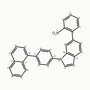 O=[N+]([O-])c1cnccc1-c1ccc2ccn(-c3ccc(-c4cccc5ccccc45)cc3)c2c1